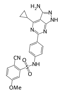 COc1ccc(C#N)c(S(=O)(=O)Nc2ccc(-c3nc(C4CC4)c4c(N)n[nH]c4n3)cc2)c1